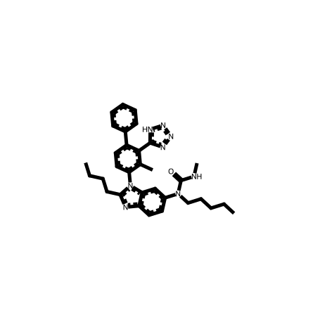 CCCCCN(C(=O)NC)c1ccc2nc(CCCC)n(-c3ccc(-c4ccccc4)c(-c4nnn[nH]4)c3C)c2c1